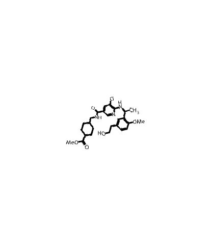 COC(=O)C1CCC(CNC(=O)c2cnc(N[C@@H](C)c3cc(CCO)ccc3OC)c(Cl)c2)CC1